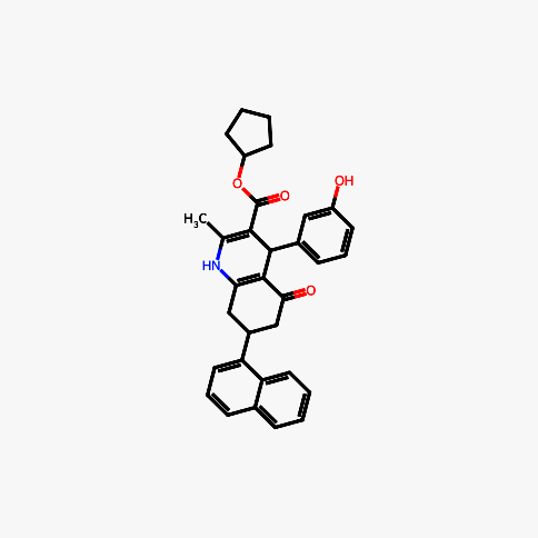 CC1=C(C(=O)OC2CCCC2)C(c2cccc(O)c2)C2=C(CC(c3cccc4ccccc34)CC2=O)N1